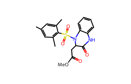 COC(=O)CC1C(=O)Nc2ccccc2N1S(=O)(=O)c1c(C)cc(C)cc1C